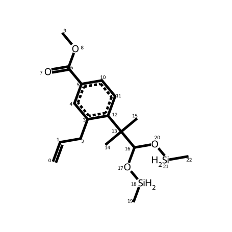 C=CCc1cc(C(=O)OC)ccc1C(C)(C)C(O[SiH2]C)O[SiH2]C